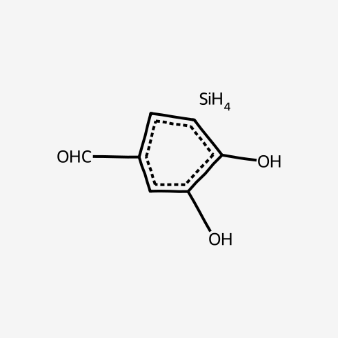 O=Cc1ccc(O)c(O)c1.[SiH4]